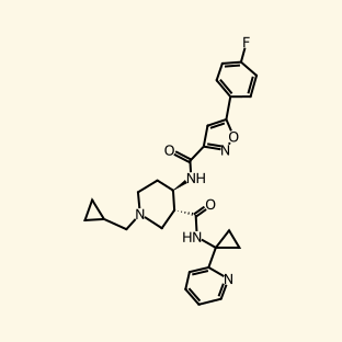 O=C(N[C@@H]1CCN(CC2CC2)C[C@H]1C(=O)NC1(c2ccccn2)CC1)c1cc(-c2ccc(F)cc2)on1